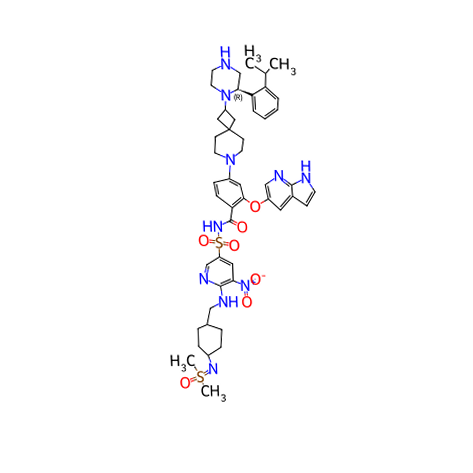 CC(C)c1ccccc1[C@@H]1CNCCN1C1CC2(CCN(c3ccc(C(=O)NS(=O)(=O)c4cnc(NCC5CCC(N=S(C)(C)=O)CC5)c([N+](=O)[O-])c4)c(Oc4cnc5[nH]ccc5c4)c3)CC2)C1